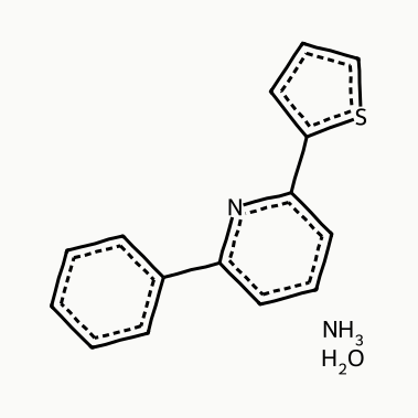 N.O.c1ccc(-c2cccc(-c3cccs3)n2)cc1